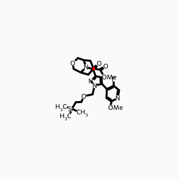 COC(=O)C1CC2COCC(C1)N2C(=O)c1cc(-c2cc(OC)ncc2F)n(COCC[Si](C)(C)C)n1